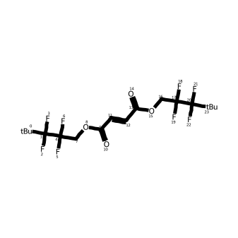 CC(C)(C)C(F)(F)C(F)(F)COC(=O)/C=C/C(=O)OCC(F)(F)C(F)(F)C(C)(C)C